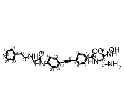 NC[C@H](NC(=O)c1ccc(C#Cc2ccc(NC(=O)CNCCc3ccncc3)cc2)cc1)C(=O)NO